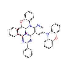 c1ccc(-c2nc(-c3ccccc3)nc(-c3cc(N4c5ccccc5Oc5ccccc54)cnc3N3c4ccccc4Oc4ccccc43)n2)cc1